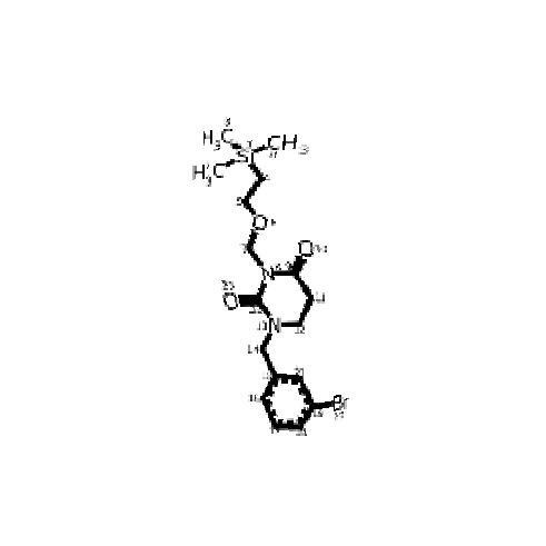 C[Si](C)(C)CCOCN1C(=O)CCN(Cc2cccc(Br)c2)C1=O